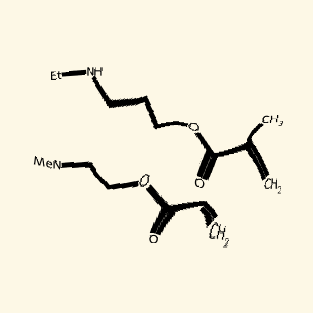 C=C(C)C(=O)OCCCNCC.C=CC(=O)OCCNC